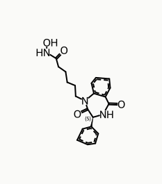 O=C(CCCCCN1C(=O)[C@H](c2ccccc2)NC(=O)c2ccccc21)NO